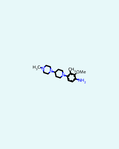 COc1c(N)ccc(N2CCC(N3CCN(C)CC3)CC2)c1C